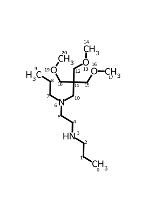 CCCNCCN(CCC)CC(COC)(COC)COC